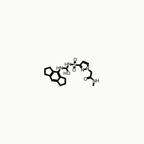 CNC(=O)Cn1ccc(S(=O)(=O)NC(O)Nc2c3c(cc4c2CCC4)CCC3)n1